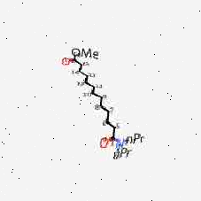 CCCN(CCC)C(=O)CCCCCCCCCCCC(=O)OC